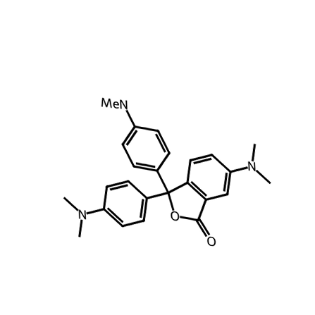 CNc1ccc(C2(c3ccc(N(C)C)cc3)OC(=O)c3cc(N(C)C)ccc32)cc1